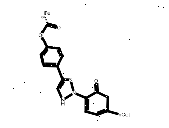 CCCCCCCCC1=CC=C(N2NC=C(c3ccc(OC(=O)[C@@H](C)CC)cc3)S2)C(=O)C1